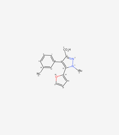 CC(C)(C)n1nc(C(=O)O)c(-c2cccc(C#N)c2)c1-c1ccco1